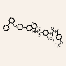 CN(C(=O)N(C)c1ccc(S(=O)(=O)Nc2ncnc3cc(N4CCN(Cc5ccccc5-c5ccccc5)CC4)ccc23)cc1[N+](=O)[O-])c1ccc(OC(F)(F)F)cc1